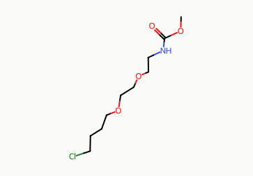 COC(=O)NCCOCCOCCCCCl